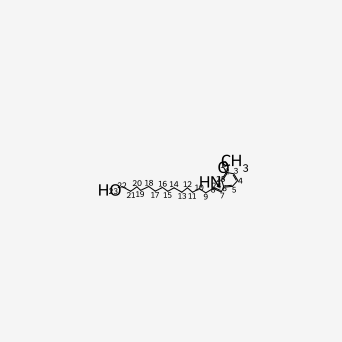 COc1cccc2cc(CCCCCCCCCCCCCCO)[nH]c12